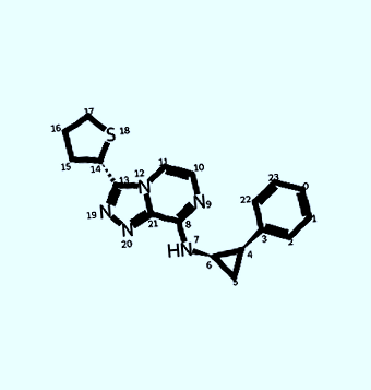 c1ccc([C@H]2C[C@H]2Nc2nccn3c([C@@H]4CCCS4)nnc23)cc1